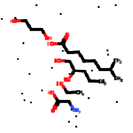 CC(C)CCCCCC(=O)O.CCCC(O)CO.CCO.NCC(=O)O.OCCCO